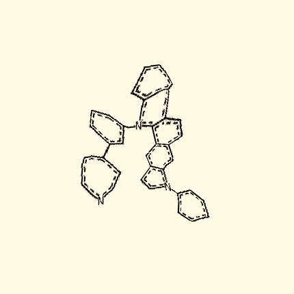 c1ccc(-n2ccc3cc4c(ccc5c6ccccc6n(-c6cccc(-c7ccncc7)c6)c45)cc32)cc1